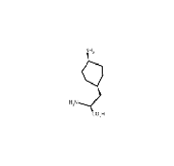 N[C@@H](C[C@H]1CC[C@@H](N)CC1)C(=O)O